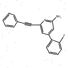 Nc1cc(-c2ccccc2F)cc(C#Cc2ccccc2)n1